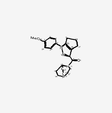 COc1ccc(-n2nc(C(=O)N3CCN4CCC3CC4)c3c2CCC3)cc1